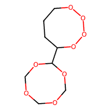 C1COOOOC(C2OCOCOCO2)C1